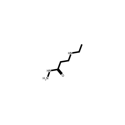 CCNCCC(=O)NN